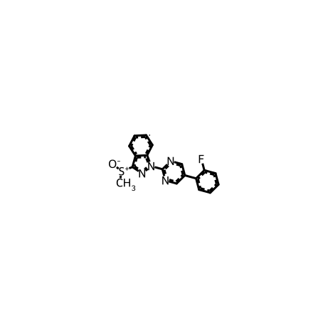 C[S+]([O-])c1nn(-c2ncc(-c3ccccc3F)cn2)c2c[c]ccc12